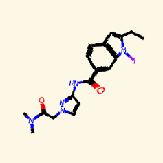 CCc1cc2ccc(C(=O)Nc3ccn(CC(=O)N(C)C)n3)cc2n1I